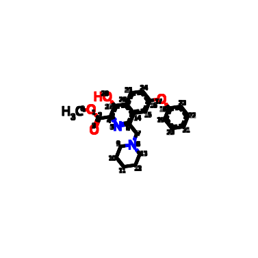 COC(=O)c1nc(CN2CCCCC2)c2cc(Oc3ccccc3)ccc2c1O